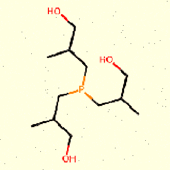 CC(CO)CP(CC(C)CO)CC(C)CO